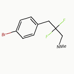 CNCC(F)(F)Cc1ccc(Br)cc1